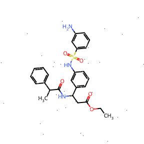 CCOC(=O)CC(NC(=O)C(C)c1ccccc1)c1cccc(NS(=O)(=O)c2cccc(N)c2)c1